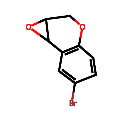 Brc1ccc2c(c1)C1OC1CO2